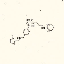 O=C(N[C@@H](CCCNC1=NCCCN1)C(=O)O)c1ccc(CNCc2ncc[nH]2)cc1